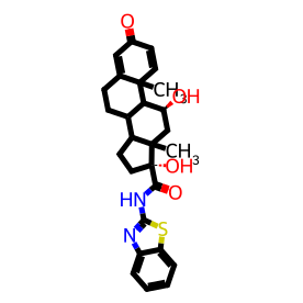 CC12C=CC(=O)C=C1CCC1C2[C@@H](O)CC2(C)C1CC[C@]2(O)C(=O)Nc1nc2ccccc2s1